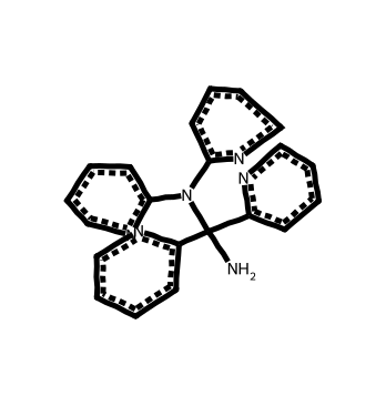 NC(c1ccccn1)(c1ccccn1)N(c1ccccn1)c1ccccn1